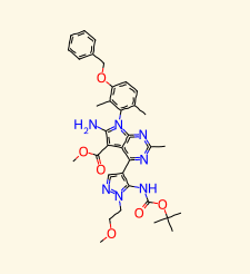 COCCn1ncc(-c2nc(C)nc3c2c(C(=O)OC)c(N)n3-c2c(C)ccc(OCc3ccccc3)c2C)c1NC(=O)OC(C)(C)C